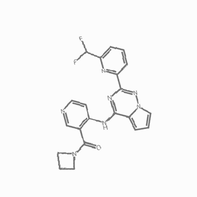 O=C(c1cnccc1Nc1nc(-c2cccc(C(F)F)n2)nn2cccc12)N1CCC1